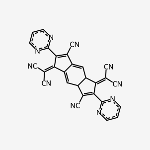 N#CC(C#N)=C1C2=CC3C(C#N)=C(c4ncccn4)C(=C(C#N)C#N)C3C=C2C(C#N)=C1c1ncccn1